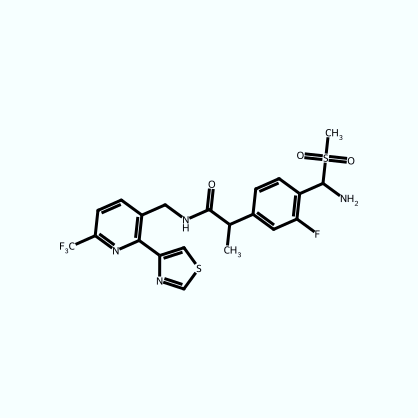 CC(C(=O)NCc1ccc(C(F)(F)F)nc1-c1cscn1)c1ccc(C(N)S(C)(=O)=O)c(F)c1